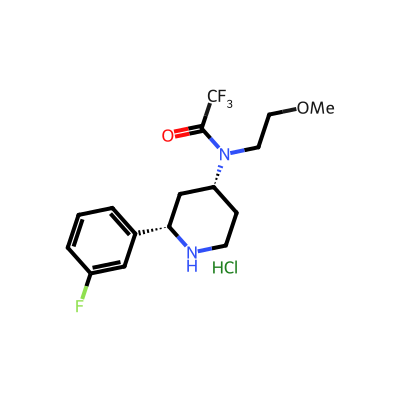 COCCN(C(=O)C(F)(F)F)[C@@H]1CCN[C@H](c2cccc(F)c2)C1.Cl